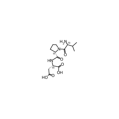 CC(C)[C@H](N)C(=O)N1CCC[C@H]1C(=O)N[C@@H](CC(=O)O)C(=O)O